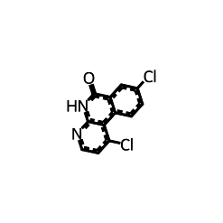 O=c1[nH]c2nccc(Cl)c2c2ccc(Cl)cc12